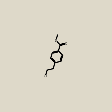 CSC(=O)c1ccc(CCCl)cc1